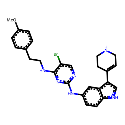 COc1ccc(CCNc2nc(Nc3ccc4[nH]cc(C5=CCNCC5)c4c3)ncc2Br)cc1